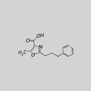 Cc1oc(CCCc2ccccc2)nc1C(=O)O